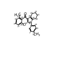 Cc1ccc(-n2cc(C(=O)c3c(C)cccc3Cl)c3c2CCCC3)cc1